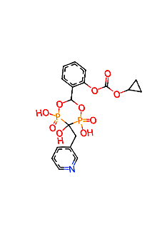 O=C(Oc1ccccc1C1OP(=O)(O)C(O)(Cc2cccnc2)P(=O)(O)O1)OC1CC1